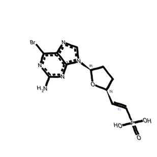 Nc1nc(Br)c2ncn([C@H]3CC[C@@H](/C=C/P(=O)(O)O)O3)c2n1